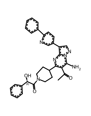 CC(=O)c1c(C2CCN(C(=O)[C@H](O)c3ccccc3)CC2)nc2c(-c3ccc(-c4ccccc4)nc3)cnn2c1N